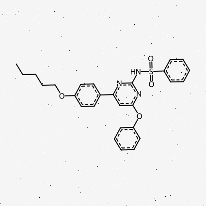 CCCCCOc1ccc(-c2cc(Oc3ccccc3)nc(NS(=O)(=O)c3ccccc3)n2)cc1